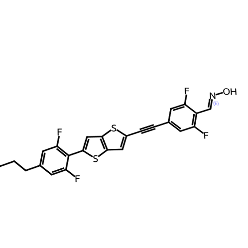 CCCCc1cc(F)c(-c2cc3sc(C#Cc4cc(F)c(/C=N/O)c(F)c4)cc3s2)c(F)c1